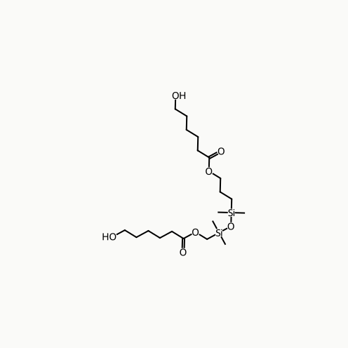 C[Si](C)(CCCOC(=O)CCCCCO)O[Si](C)(C)COC(=O)CCCCCO